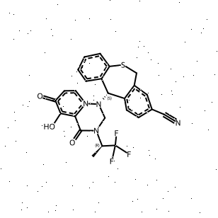 C[C@@H](N1CN([C@H]2c3ccc(C#N)cc3CSc3ccccc32)n2ccc(=O)c(O)c2C1=O)C(F)(F)F